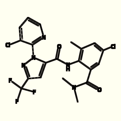 Cc1cc(Cl)cc(C(=O)N(C)C)c1NC(=O)c1cc(C(F)(F)F)nn1-c1ncccc1Cl